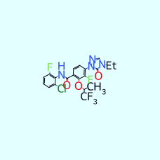 CCn1cnn(-c2ccc(C(=O)Nc3c(F)cccc3Cl)c(O[C@@H](C)C(F)(F)F)c2F)c1=O